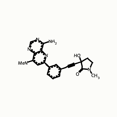 CNc1cc(-c2cccc(C#CC3(O)CCN(C)C3=O)c2)nc2c(N)ncnc12